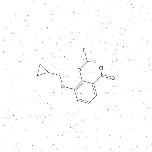 O=C(Cl)c1cccc(OCC2CC2)c1OC(F)F